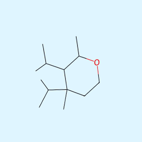 CC(C)C1C(C)OCCC1(C)C(C)C